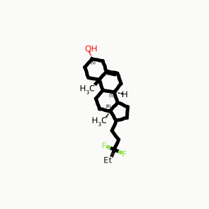 CCC(F)(F)CCC1CCC2[C@@H]3CC=C4C[C@@H](O)CCC4(C)C3CC[C@]12C